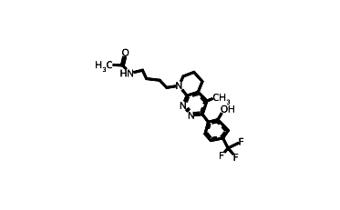 CC(=O)NCCCCN1CCCc2c1nnc(-c1ccc(C(F)(F)F)cc1O)c2C